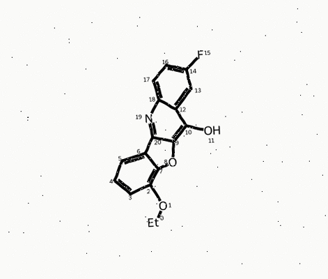 CCOc1cccc2c1oc1c(O)c3cc(F)ccc3nc12